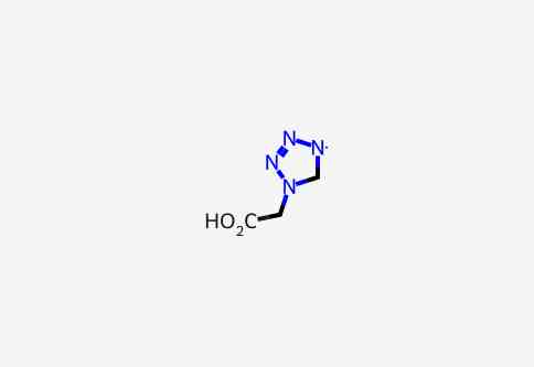 O=C(O)CN1C[N]N=N1